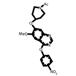 COc1cc2c(Oc3ccc([N+](=O)[O-])cc3)ncnc2cc1OC1CCN(C(C)=O)CC1